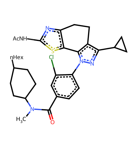 CCCCCCC1CCC(N(C)C(=O)c2ccc(-n3nc(C4CC4)c4c3-c3sc(NC(C)=O)nc3CC4)c(Cl)c2)CC1